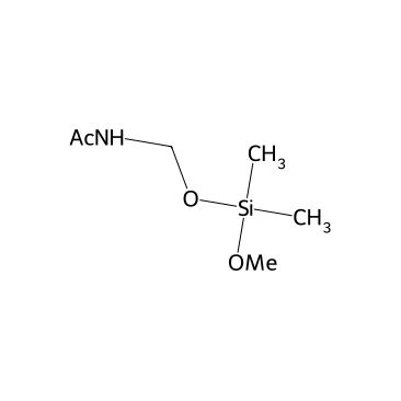 CO[Si](C)(C)OCNC(C)=O